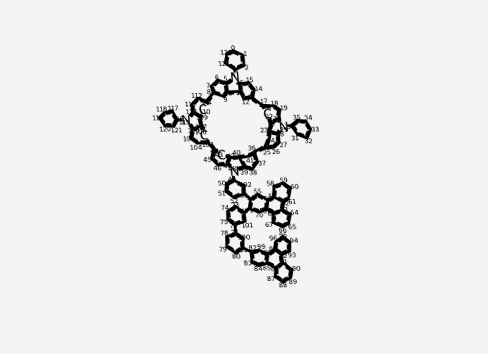 c1ccc(-n2c3ccc4cc3c3cc(ccc32)c2ccc3c(c2)c2cc(ccc2n3-c2ccccc2)c2ccc3c(c2)c2cc(ccc2n3-c2cccc(-c3cc5c6ccccc6c6ccccc6c5cc3-c3cccc(-c5cccc(-c6ccc7c8ccccc8c8ccccc8c7c6)c5)c3)c2)c2ccc3c(c2)c2cc4ccc2n3-c2ccccc2)cc1